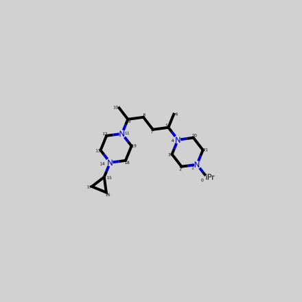 CC(C)N1CCN(C(C)CCC(C)N2CCN(C3CC3)CC2)CC1